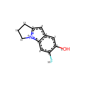 Oc1cc2cc3n(c2cc1F)CCC3